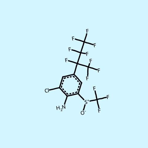 Nc1c(Cl)cc(C(F)(C(F)(F)F)C(F)(F)C(F)(F)F)cc1[S+]([O-])C(F)(F)F